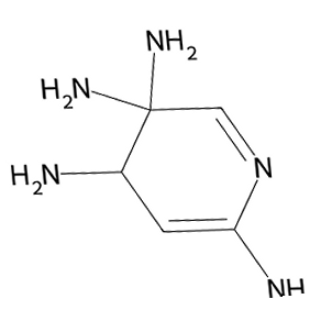 NC1=CC(N)C(N)(N)C=N1